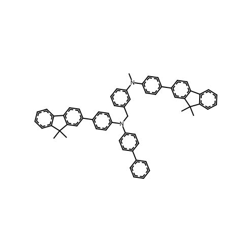 CN(c1ccc(-c2ccc3c(c2)C(C)(C)c2ccccc2-3)cc1)c1cccc(CN(c2ccc(-c3ccccc3)cc2)c2ccc(-c3ccc4c(c3)C(C)(C)c3ccccc3-4)cc2)c1